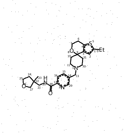 CCc1cc2c(s1)CCOC21CCN(Cc2ccc(C(=O)NCC3(C)CCOC3)nc2)CC1